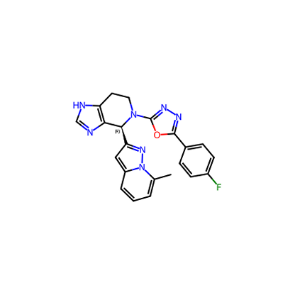 Cc1cccc2cc([C@H]3c4nc[nH]c4CCN3c3nnc(-c4ccc(F)cc4)o3)nn12